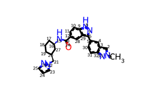 Cn1cc2cc(-c3n[nH]c4ccc(C(=O)N[C@@H]5CCC[C@H](Cn6cccn6)C5)cc34)ccc2n1